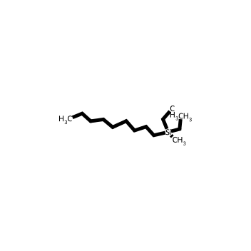 CCCCCCCCC[Si](C)(CC)CC